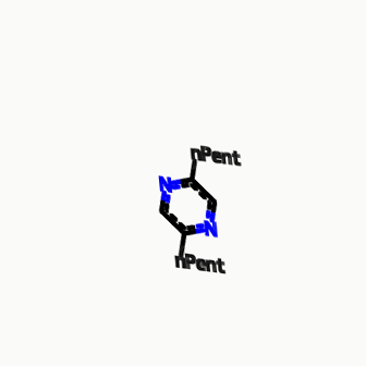 CCCCCc1cnc(CCCCC)cn1